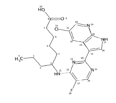 CCCC(CCCCC(=O)O)Nc1nc(-c2c[nH]c3ncc(Cl)cc23)ncc1F